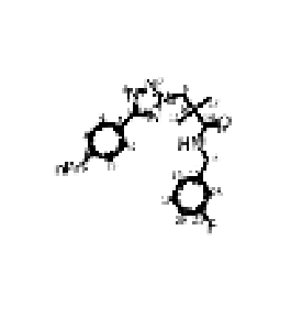 CCCc1ccc(-c2nnn(CC(C)(C)C(=O)NCc3cccc(F)c3)n2)cc1